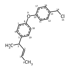 C/C=C/C(C)c1ccc(Oc2ccc(CCl)cc2)cc1